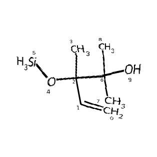 C=CC(C)(O[SiH3])C(C)(C)O